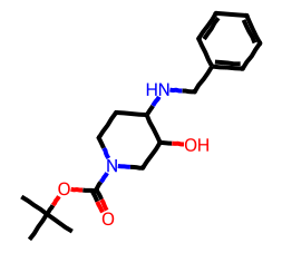 CC(C)(C)OC(=O)N1CCC(NCc2ccccc2)C(O)C1